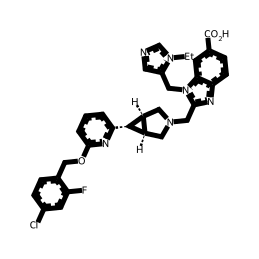 CCn1cncc1Cn1c(CN2C[C@@H]3[C@H](C2)[C@H]3c2cccc(OCc3ccc(Cl)cc3F)n2)nc2ccc(C(=O)O)cc21